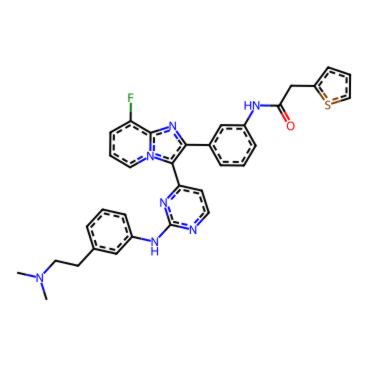 CN(C)CCc1cccc(Nc2nccc(-c3c(-c4cccc(NC(=O)Cc5cccs5)c4)nc4c(F)cccn34)n2)c1